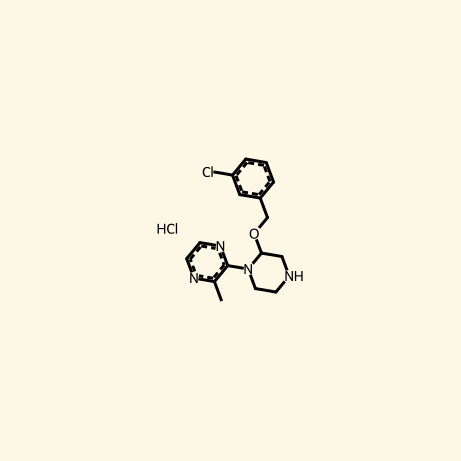 Cc1nccnc1N1CCNCC1OCc1cccc(Cl)c1.Cl